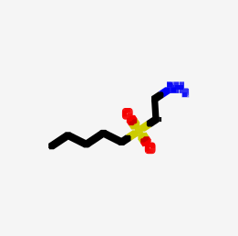 CCCCCS(=O)(=O)[CH]CN